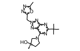 Cc1nnc(Cn2nc3nc(C(C)(C)C)nc(N4CC[C@](C)(O)C4)c3n2)o1